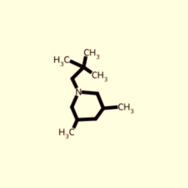 CC1CC(C)CN(CC(C)(C)C)C1